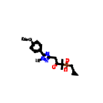 CCn1nc(CC(=O)C(C)(C)S(=O)(=O)CC2CC2)nc1-c1ccc(OC)cc1